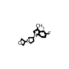 Cc1cn(C2CCN(C3COC3)C2)c2ccc(F)cc12